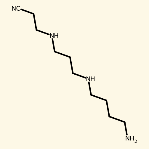 N#CCCNCCCNCCCCN